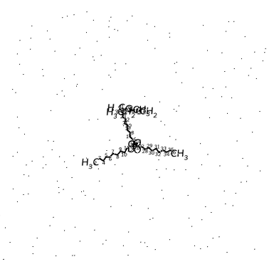 C=C.CCCCCCCCCCOP(=O)(OCCCCCCCCCC)OCCCCCCCCCC.CCOCC